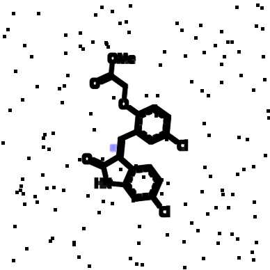 COC(=O)COc1ccc(Cl)cc1/C=C1/C(=O)Nc2cc(Cl)ccc21